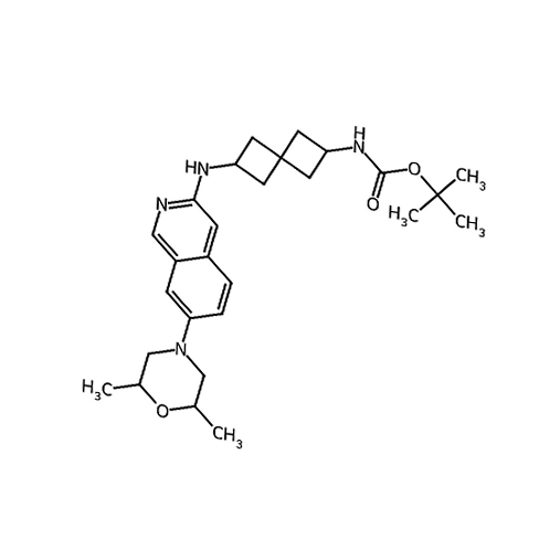 CC1CN(c2ccc3cc(NC4CC5(CC(NC(=O)OC(C)(C)C)C5)C4)ncc3c2)CC(C)O1